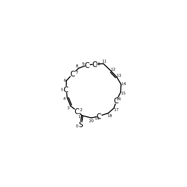 S=C1C/C=C\CCCCCCC/C=C\CCCCCCC1